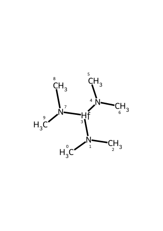 C[N](C)[Hf]([N](C)C)[N](C)C